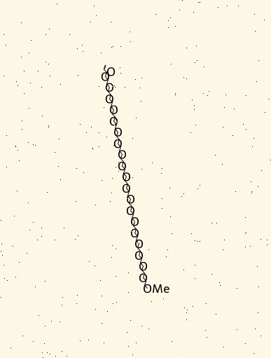 C=CC(=O)OCCOCCOCCOCCOCCOCCOCCOCCOCCOCCOCCOCCOCCOCCOCCOCCOCCOCCOCCOC